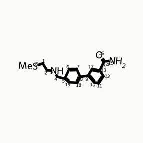 CSCCNCc1ccc(-c2cccc(C(N)=O)c2)cc1